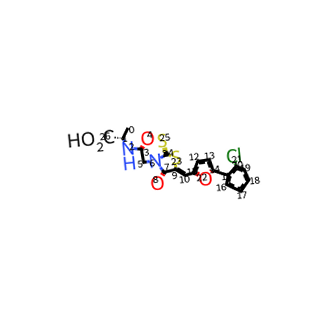 C[C@H](NC(=O)CN1C(=O)/C(=C/c2ccc(-c3ccccc3Cl)o2)SC1=S)C(=O)O